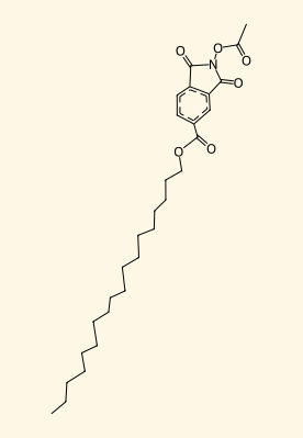 CCCCCCCCCCCCCCCCCCOC(=O)c1ccc2c(c1)C(=O)N(OC(C)=O)C2=O